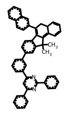 CC1(C)C2=C3C=CC=CC3CC(c3ccc4ccccc4c3)=C2c2ccc(-c3cccc(-c4cc(-c5ccccc5)nc(-c5ccccc5)n4)c3)cc21